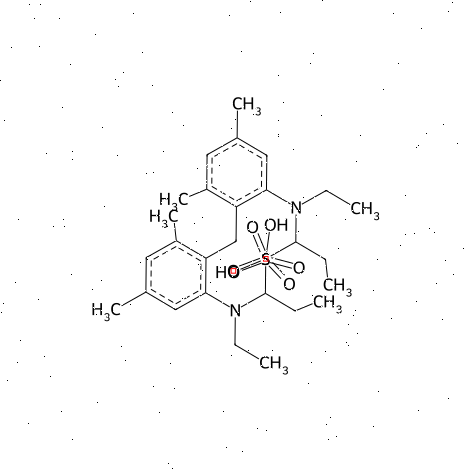 CCC(N(CC)c1cc(C)cc(C)c1Cc1c(C)cc(C)cc1N(CC)C(CC)S(=O)(=O)O)S(=O)(=O)O